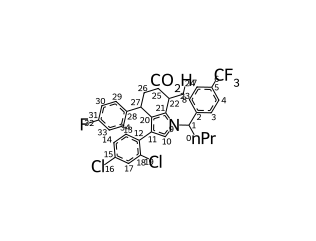 CCCC(c1ccc(C(F)(F)F)cc1)n1cc(-c2ccc(Cl)cc2Cl)c2c1C(CC(=O)O)CCC2c1ccc(F)cc1